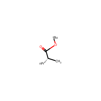 CC[13CH2][C@@H](C)C(=O)OC(C)(C)C